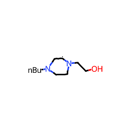 CCCCN1C[CH]N(CCO)CC1